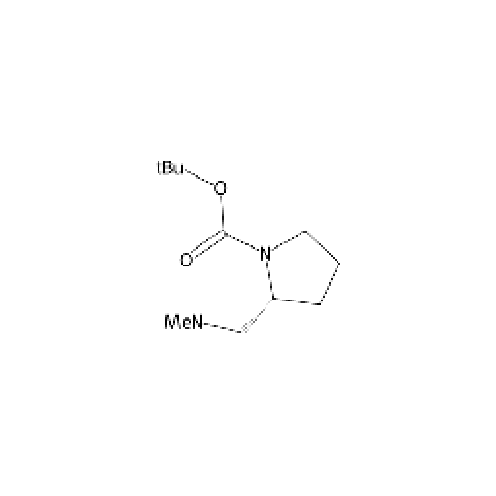 CNC[C@H]1CCCN1C(=O)OC(C)(C)C